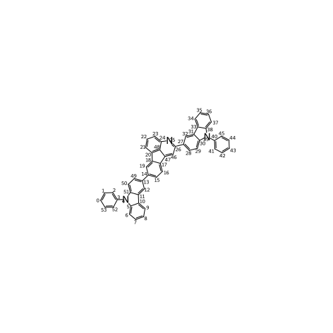 c1ccc(-n2c3ccccc3c3cc(-c4ccc5c(c4)-c4cccc6nc(-c7ccc8c(c7)c7ccccc7n8-c7ccccc7)cc-5c46)ccc32)cc1